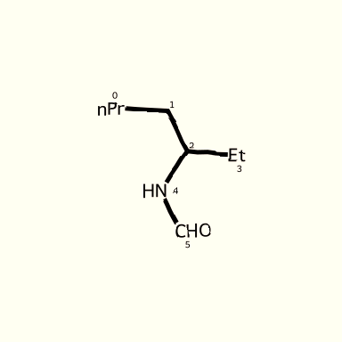 CCCCC(CC)NC=O